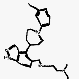 Cc1cccc(N2CCC(c3c(CNCCN(C)C)ccc4[nH]ncc34)CC2)c1